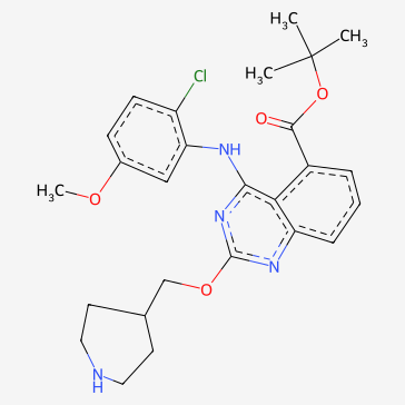 COc1ccc(Cl)c(Nc2nc(OCC3CCNCC3)nc3cccc(C(=O)OC(C)(C)C)c23)c1